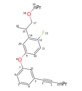 CCCC#Cc1cccc(Oc2ccc(F)c(C(C)COCCC)c2)c1